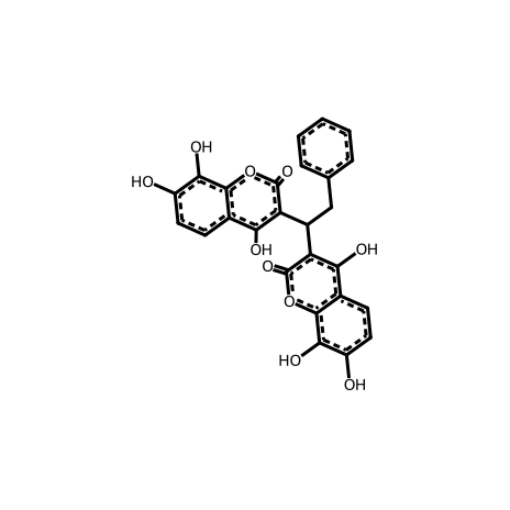 O=c1oc2c(O)c(O)ccc2c(O)c1C(Cc1ccccc1)c1c(O)c2ccc(O)c(O)c2oc1=O